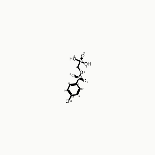 O=P(O)(O)COS(=O)(=O)c1ccc(Cl)cc1